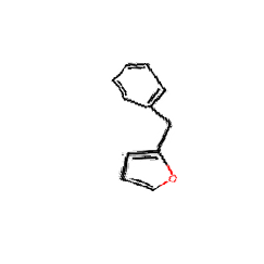 [c]1ccoc1Cc1ccccc1